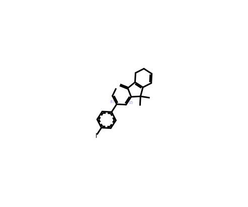 C=C1C2=C(C=CCC2)C(C)(C)/C1=C/C(=C\C)c1ccc(I)cc1